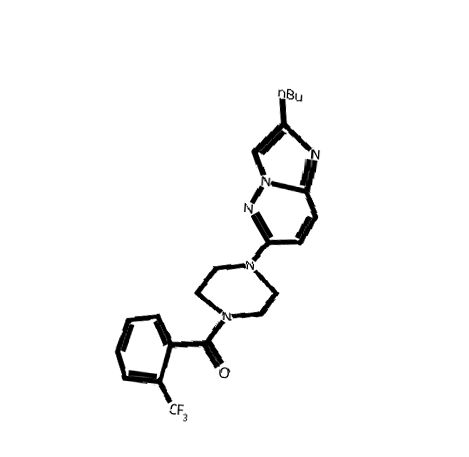 CCCCc1cn2nc(N3CCN(C(=O)c4ccccc4C(F)(F)F)CC3)ccc2n1